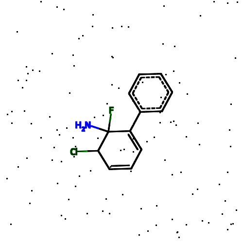 NC1(F)C(c2ccccc2)=CC=CC1Cl